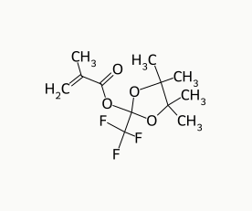 C=C(C)C(=O)OC1(C(F)(F)F)OC(C)(C)C(C)(C)O1